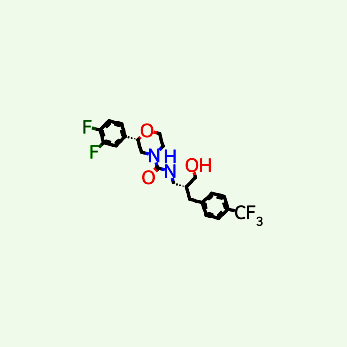 O=C(NC[C@H](CO)Cc1ccc(C(F)(F)F)cc1)N1CCO[C@@H](c2ccc(F)c(F)c2)C1